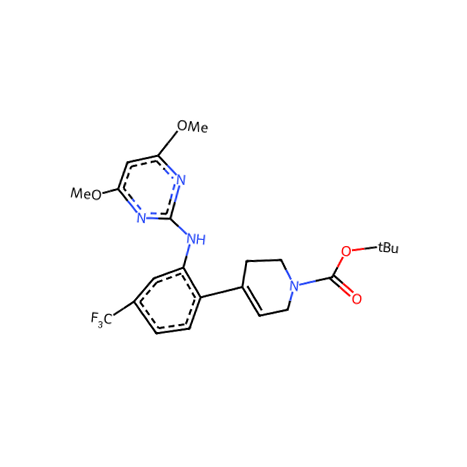 COc1cc(OC)nc(Nc2cc(C(F)(F)F)ccc2C2=CCN(C(=O)OC(C)(C)C)CC2)n1